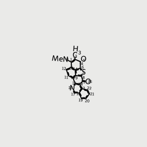 CNC1=C(C)C(=O)c2sc3c4c(ccc1c24)-c1ncc2ccccc2c1C3=O